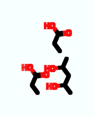 CC(O)CC(C)O.CCC(=O)O.CCC(=O)O